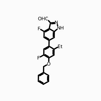 CCc1cc(OCc2ccccc2)c(F)cc1-c1cc(F)c2c(C=O)n[nH]c2c1